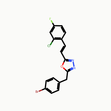 Fc1ccc(/C=C/c2nnc(Cc3ccc(Br)cc3)o2)c(Cl)c1